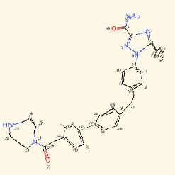 Cc1nc(C(N)=O)nn1-c1ccc(Cc2ccc(-c3ccc(C(=O)N4CCNCC4)cc3)cc2)cc1